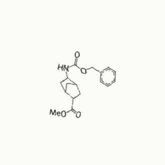 COC(=O)C1CC2CC1CC2NC(=O)OCc1ccccc1